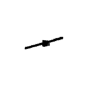 CCCCCCCCCCCCCCCCCCC(=O)OC(=O)CCCCCCCCCCCCCCCCC.N